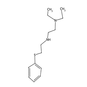 CCN(CC)CCNCCSc1ccccc1